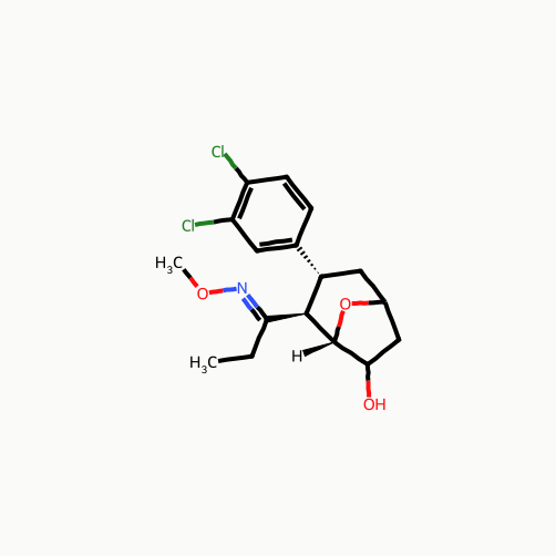 CCC(=NOC)[C@@H]1[C@@H]2OC(CC2O)C[C@H]1c1ccc(Cl)c(Cl)c1